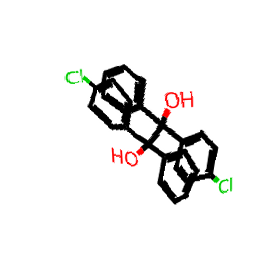 OC(c1ccccc1)(c1ccc(Cl)cc1)C(O)(c1ccccc1)c1ccc(Cl)cc1